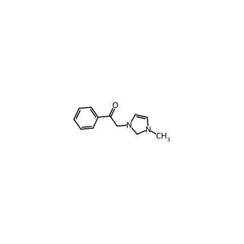 CN1C=CN(CC(=O)c2ccccc2)C1